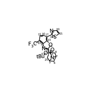 CC(C)(C)OC(=O)N1C2CC1CN(c1nc3c(C(F)(F)F)ccc(-c4nccs4)c3o1)C2